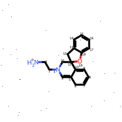 NCCN1C=C2CC=CC=C2C2(Cc3ccccc3O2)C1